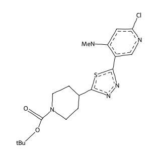 CNc1cc(Cl)ncc1-c1nnc(C2CCN(C(=O)OC(C)(C)C)CC2)s1